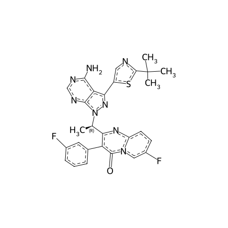 C[C@H](c1nc2ccc(F)cn2c(=O)c1-c1cccc(F)c1)n1nc(-c2cnc(C(C)(C)C)s2)c2c(N)ncnc21